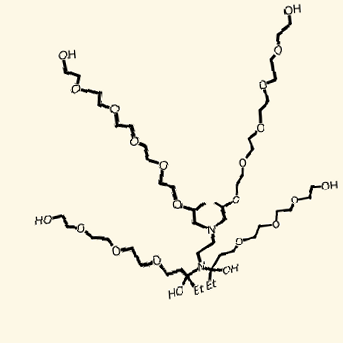 CCC(O)(CCOCCOCCOCCO)N(CCN(CC(C)OCCOCCOCCOCCOCCO)CC(C)OCCOCCOCCOCCOCCO)C(O)(CC)CCOCCOCCOCCO